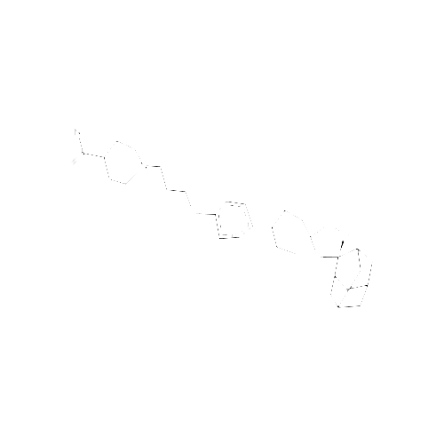 NC(=O)C1CCN(CCCOc2ccc([C@H]3CC[C@]4(CC3)OO[C@]3(O4)C4CC5CC(C4)CC3C5)cc2)CC1